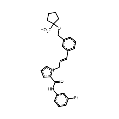 CCc1cccc(NC(=O)c2cccn2C/C=C/c2cccc(COC3(C(=O)O)CCCC3)c2)c1